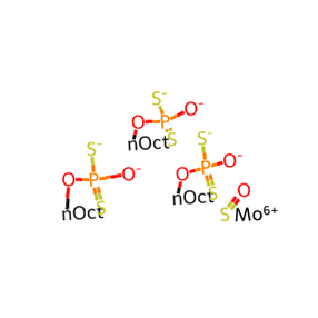 CCCCCCCCOP([O-])(=S)[S-].CCCCCCCCOP([O-])(=S)[S-].CCCCCCCCOP([O-])(=S)[S-].O=S.[Mo+6]